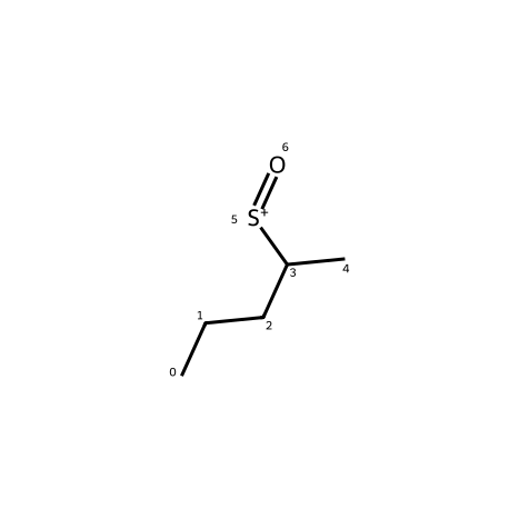 CCCC(C)[S+]=O